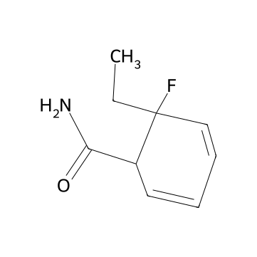 CCC1(F)C=CC=CC1C(N)=O